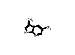 CC1=CNC2N=CC(C(F)(F)F)=CC12